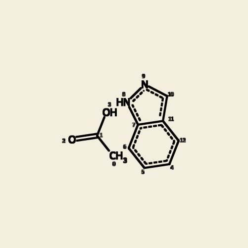 CC(=O)O.c1ccc2[nH]ncc2c1